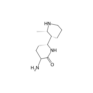 C[C@@H]1NCCC[C@@H]1[C@H]1CCC(N)C(=O)N1